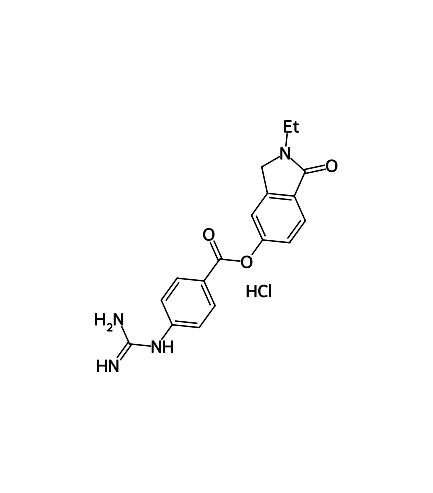 CCN1Cc2cc(OC(=O)c3ccc(NC(=N)N)cc3)ccc2C1=O.Cl